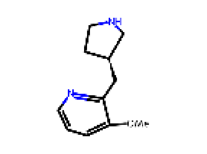 COc1cccnc1C[C@H]1CCNC1